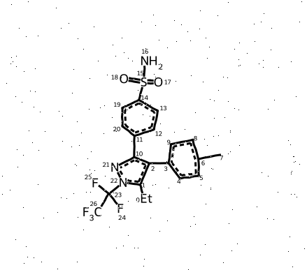 CCc1c(-c2ccc(C)cc2)c(-c2ccc(S(N)(=O)=O)cc2)nn1C(F)(F)C(F)(F)F